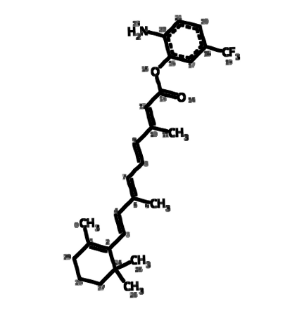 CC1=C(/C=C/C(C)=C/C=C/C(C)=C/C(=O)Oc2cc(C(F)(F)F)ccc2N)C(C)(C)CCC1